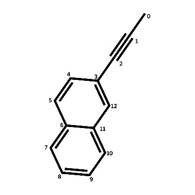 CC#Cc1ccc2ccccc2c1